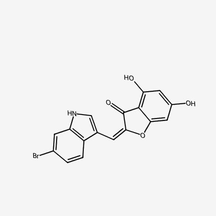 O=C1C(=Cc2c[nH]c3cc(Br)ccc23)Oc2cc(O)cc(O)c21